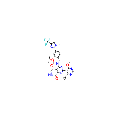 COc1ncnc(C2CC2)c1-c1nc2c(c(N(Cc3ccc(-c4nc(C(F)(F)F)cn4C)cc3)C(=O)OC(C)(C)C)n1)CCNC2=O